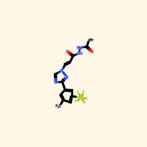 CCCC(=O)NNC(=O)C=Cn1cnc(-c2cc(C(F)(F)F)cc(S(F)(F)(F)(F)F)c2)n1